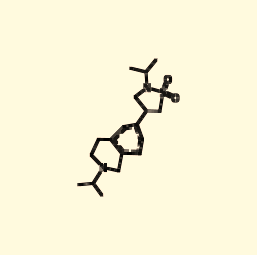 CC(C)N1CCc2cc(C3CN(C(C)C)S(=O)(=O)C3)ccc2C1